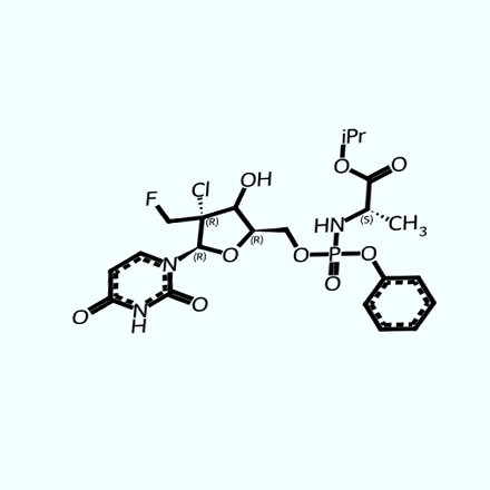 CC(C)OC(=O)[C@H](C)NP(=O)(OC[C@H]1O[C@@H](n2ccc(=O)[nH]c2=O)[C@@](Cl)(CF)C1O)Oc1ccccc1